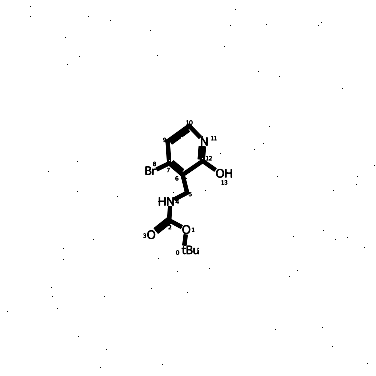 CC(C)(C)OC(=O)NCc1c(Br)ccnc1O